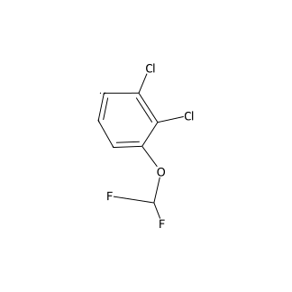 FC(F)Oc1cc[c]c(Cl)c1Cl